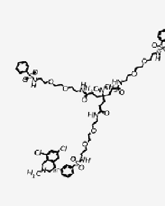 CN1Cc2c(Cl)cc(Cl)cc2[C@H](c2cccc(S(=O)(=O)NCCOCCOCCNC(=O)CCC(CCC(=O)NCCOCCOCCNS(=O)(=O)c3ccccc3)(CCC(=O)NCCOCCOCCNS(=O)(=O)c3ccccc3)N(C)C)c2)C1